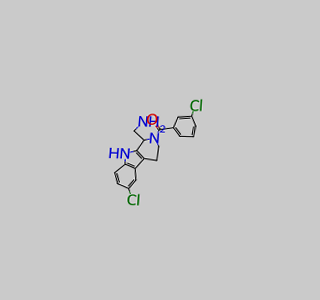 NCC1c2[nH]c3ccc(Cl)cc3c2CCN1C(=O)c1cccc(Cl)c1